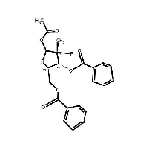 CC(=O)OC1O[C@H](COC(=O)c2ccccc2)[C@@H](OC(=O)c2ccccc2)[C@@]1(C)F